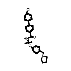 CC(C)(Cc1ccc(CN2CCCC2)cc1)NC(=O)c1ccc(-c2ccc(Cl)cc2)cc1